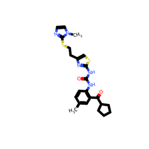 Cc1ccc(NC(=O)Nc2nc(CCSc3nccn3C)cs2)c(C(=O)C2CCCC2)c1